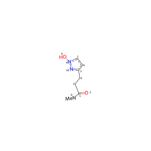 CNC(=O)CCc1ccn(O)n1